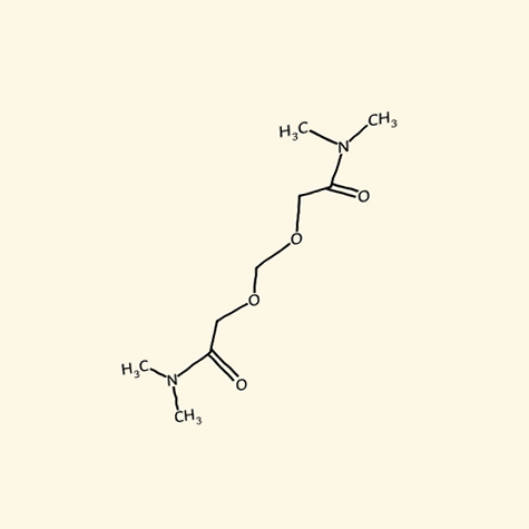 CN(C)C(=O)COCOCC(=O)N(C)C